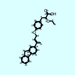 CCOC(Cc1ccc(OCC=C(C)c2ccc3c(c2)Cc2ccccc2-3)cc1)C(=O)O